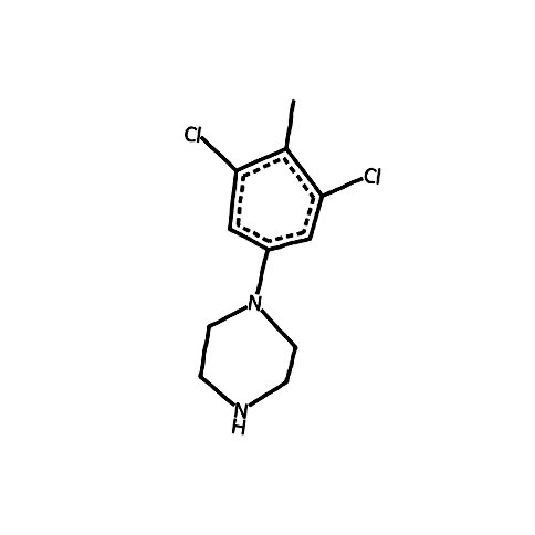 Cc1c(Cl)cc(N2CCNCC2)cc1Cl